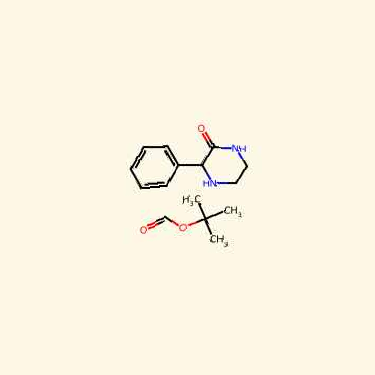 CC(C)(C)OC=O.O=C1NCCNC1c1ccccc1